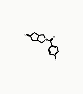 O=C1CC2CN(C(=O)c3ccc(F)cc3)CC2C1